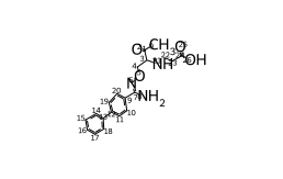 CC(=O)C(CON=C(N)c1ccc(-c2ccccc2)cc1)NCCC(=O)O